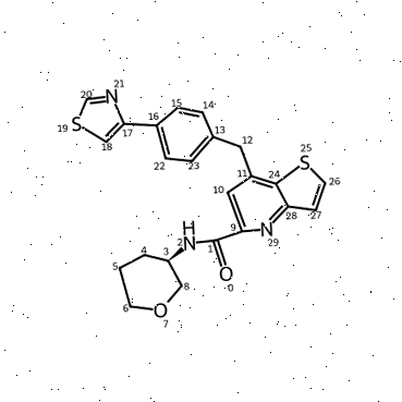 O=C(N[C@@H]1CCCOC1)c1cc(Cc2ccc(-c3cscn3)cc2)c2sccc2n1